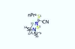 CCCSC(C#N)=NSN([Si](C)(C)C)[Si](C)(C)C